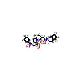 CC(C)CC(CC(=O)N1CCc2ccccc2C1)C(=O)N1CCC2[C@H]1C(=O)CN2C(=O)c1ccccc1